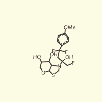 COc1ccc(C(F)(F)CC(O)(CF)N2CSC3OCC(O)C(O)C32)cc1